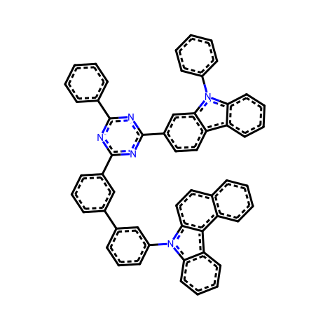 c1ccc(-c2nc(-c3cccc(-c4cccc(-n5c6ccccc6c6c7ccccc7ccc65)c4)c3)nc(-c3ccc4c5ccccc5n(-c5ccccc5)c4c3)n2)cc1